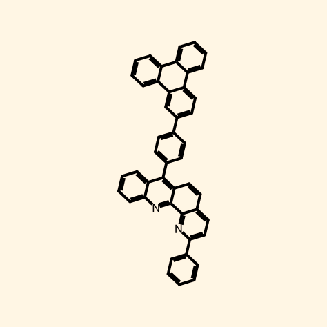 c1ccc(-c2ccc3ccc4c(-c5ccc(-c6ccc7c8ccccc8c8ccccc8c7c6)cc5)c5ccccc5nc4c3n2)cc1